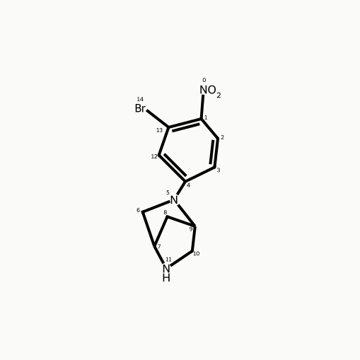 O=[N+]([O-])c1ccc(N2CC3CC2CN3)cc1Br